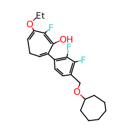 CCOC1=CCC=C(c2ccc(COC3CCCCCC3)c(F)c2F)C(O)=C1F